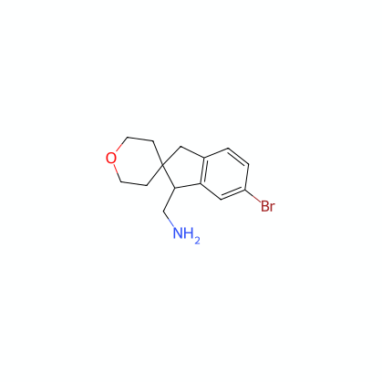 NCC1c2cc(Br)ccc2CC12CCOCC2